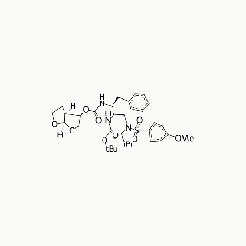 COc1ccc(S(=O)(=O)N(CC(C)C)C[C@@H](NC(=O)OC(C)(C)C)[C@H](Cc2ccccc2)NC(=O)O[C@H]2CO[C@H]3OCC[C@H]32)cc1